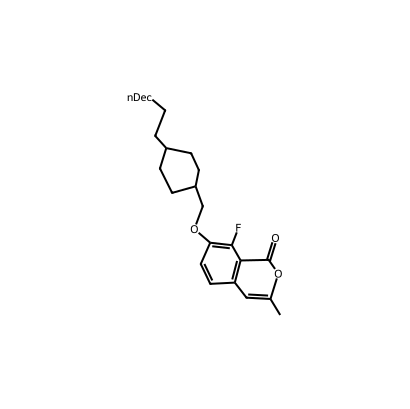 CCCCCCCCCCCCC1CCC(COc2ccc3cc(C)oc(=O)c3c2F)CC1